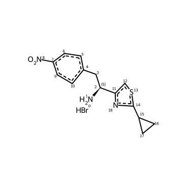 Br.N[C@@H](Cc1ccc([N+](=O)[O-])cc1)c1csc(C2CC2)n1